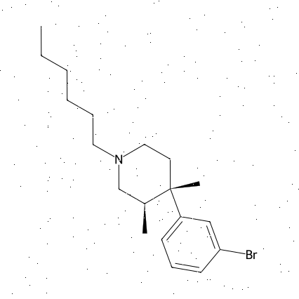 CCCCCCN1CC[C@](C)(c2cccc(Br)c2)[C@@H](C)C1